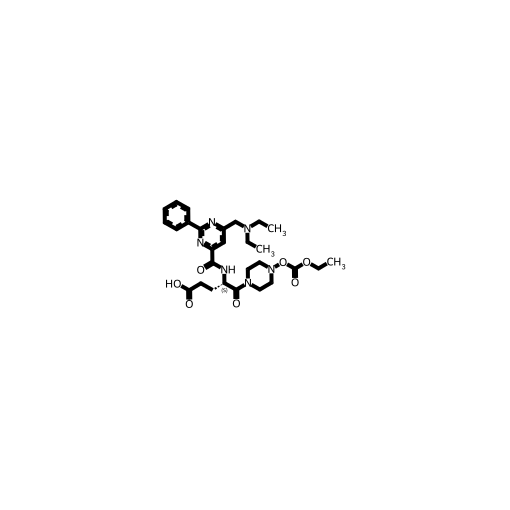 CCOC(=O)ON1CCN(C(=O)[C@H](CCC(=O)O)NC(=O)c2cc(CN(CC)CC)nc(-c3ccccc3)n2)CC1